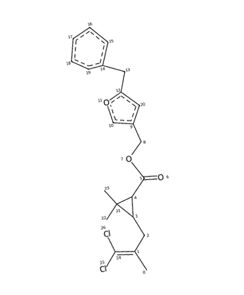 CC(CC1C(C(=O)OCc2coc(Cc3ccccc3)c2)C1(C)C)=C(Cl)Cl